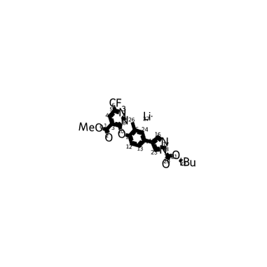 COC(=O)c1cc(C(F)(F)F)nnc1Oc1ccc(-c2cnn(C(=O)OC(C)(C)C)c2)cc1C.[Li]